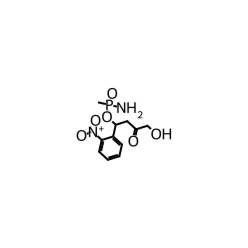 CP(N)(=O)OC(CC(=O)CO)c1ccccc1[N+](=O)[O-]